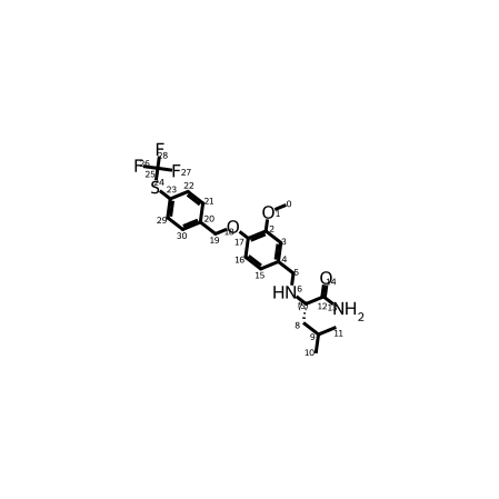 COc1cc(CN[C@@H](CC(C)C)C(N)=O)ccc1OCc1ccc(SC(F)(F)F)cc1